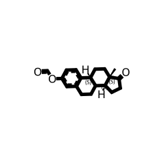 C[C@]12CC[C@@H]3c4ccc(OC=O)cc4CCC3[C@@H]1CCC2=O